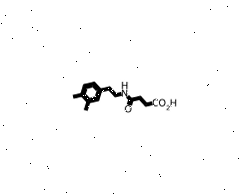 Cc1ccc(CCNC(=O)CCC(=O)O)cc1C